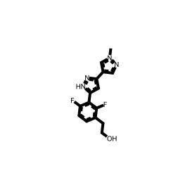 Cn1cc(-c2cc(-c3c(F)ccc(CCO)c3F)[nH]n2)cn1